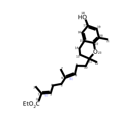 CCOC(=O)/C(C)=C/CC/C(C)=C/CCC1(C)CCc2cc(O)cc(C)c2O1